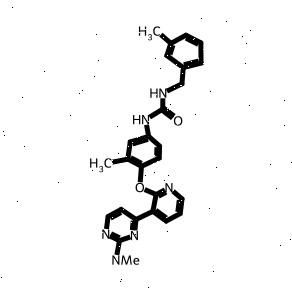 CNc1nccc(-c2cccnc2Oc2ccc(NC(=O)NCc3cccc(C)c3)cc2C)n1